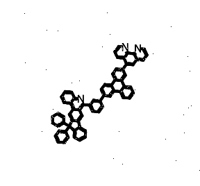 C1=CC(C2(c3ccccc3)c3ccccc3-c3cc4c(-c5cccc(-c6ccc7c8ccc(-c9cc%10cccnc%10c%10ncccc9%10)cc8c8ccccc8c7c6)c5)nc5ccccc5c4cc32)=CCC1